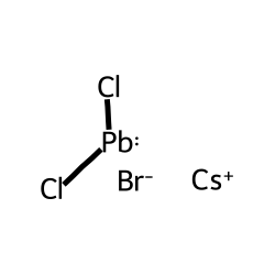 [Br-].[Cl][Pb][Cl].[Cs+]